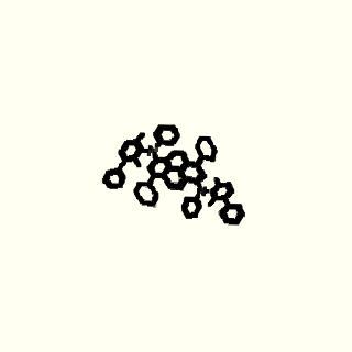 Cc1ccc(-c2ccccc2)c(C)c1N(c1ccccc1)c1cc(C2CCCCC2)c2ccc3c(N(c4ccccc4)c4c(C)ccc(-c5ccccc5)c4C)cc(C4CCCCC4)c4ccc1c2c43